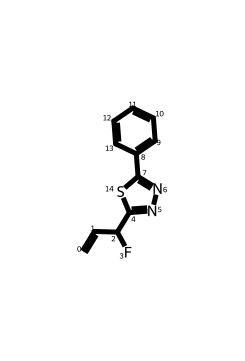 C=CC(F)c1nnc(-c2ccccc2)s1